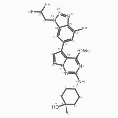 COc1nc(N[C@H]2CC[C@@](C)(O)CC2)nn2ccc(-c3cc(F)c4nnn(CC(F)F)c4c3)c12